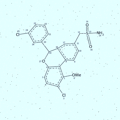 COc1c(Cl)ccc2c1-c1ccc(CS(N)(=O)=O)cc1C(c1cccc(Cl)c1)O2